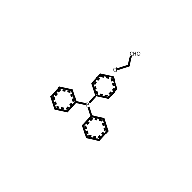 O=CCCl.c1ccc(P(c2ccccc2)c2ccccc2)cc1